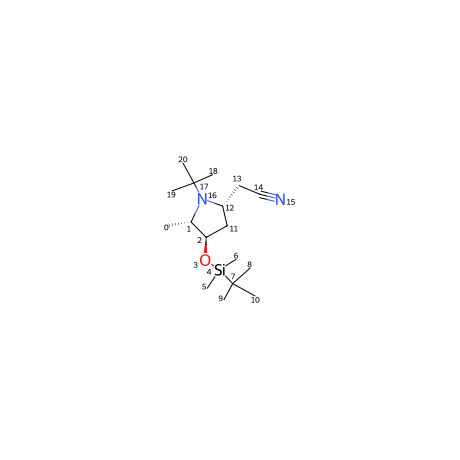 C[C@H]1[C@H](O[Si](C)(C)C(C)(C)C)C[C@@H](CC#N)N1C(C)(C)C